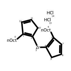 CCCCCCCCC1=[C]([Zr][C]2=C(CCCCCCCC)C=CC2)CC=C1.Cl.Cl